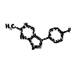 Cc1n[c]c2c(-c3ccc(F)cc3)csc2n1